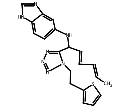 CC=CC=CC(Nc1ccc2[nH]cnc2c1)c1nnnn1CCc1cccs1